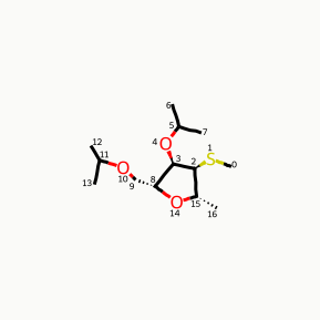 CS[C@@H]1[C@H](OC(C)C)[C@@H](COC(C)C)O[C@H]1C